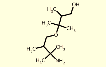 CC(COC(C)(C)C(C)CO)C(C)(C)N